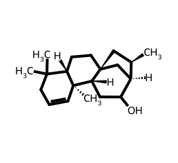 C[C@@H]1C[C@]23CC[C@H]4C(C)(C)CC=C[C@]4(C)[C@H]2CC(O)[C@H]1C3